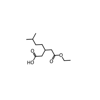 CCOC(=O)CC(CCC(C)C)CC(=O)O